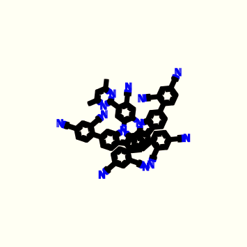 Cc1cc(C)nc(-c2cc(-n3c4cc(-c5ccc(C#N)cc5C#N)ccc4c4ccc(-c5ccc(C#N)cc5C#N)cc43)c(-n3c4cc(-c5ccc(C#N)cc5C#N)ccc4c4ccc(-c5ccc(C#N)cc5C#N)cc43)cc2C#N)n1